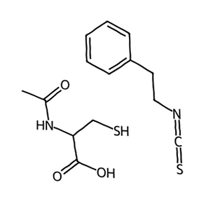 CC(=O)NC(CS)C(=O)O.S=C=NCCc1ccccc1